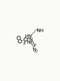 Fc1c(-c2cccc3ccccc23)ccc2c(NCCCCC3CN3)nc(OCC(F)CN3CCCC3)nc12